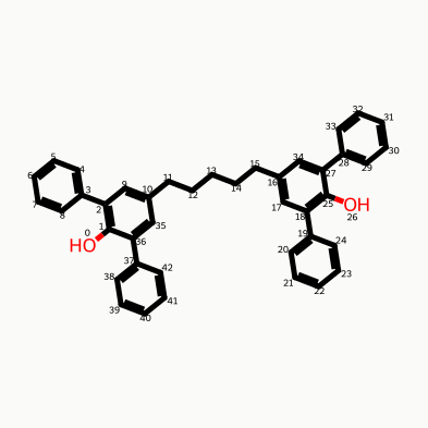 Oc1c(-c2ccccc2)cc(CCCCCc2cc(-c3ccccc3)c(O)c(-c3ccccc3)c2)cc1-c1ccccc1